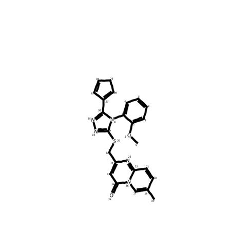 COc1ccccc1-n1c(SCc2cc(=O)n3cc(C)ccc3n2)nnc1C1=CCC=C1